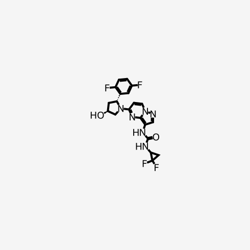 O=C(Nc1cnn2ccc(N3C[C@@H](O)C[C@@H]3c3cc(F)ccc3F)nc12)NC1CC1(F)F